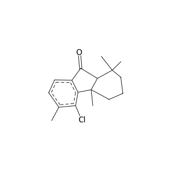 Cc1ccc2c(c1Cl)C1(C)CCCC(C)(C)C1C2=O